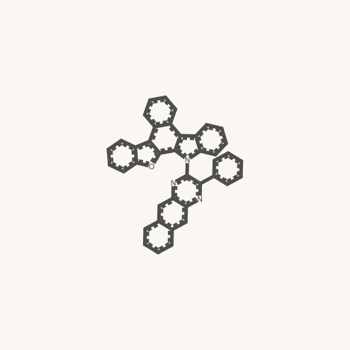 c1ccc(-c2nc3cc4ccccc4cc3nc2-n2c3ccccc3c3c4ccccc4c4c5ccccc5oc4c32)cc1